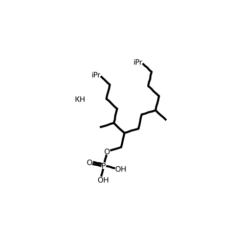 CC(C)CCCC(C)CCC(COP(=O)(O)O)C(C)CCCC(C)C.[KH]